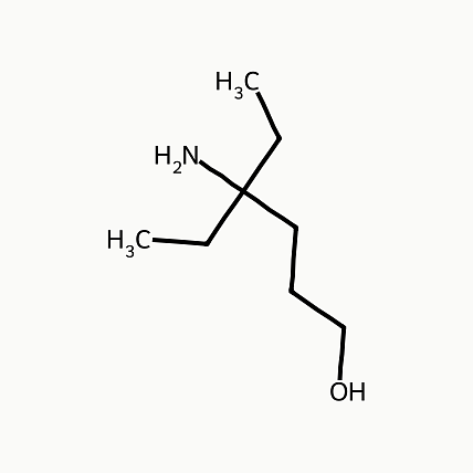 CCC(N)(CC)CCCO